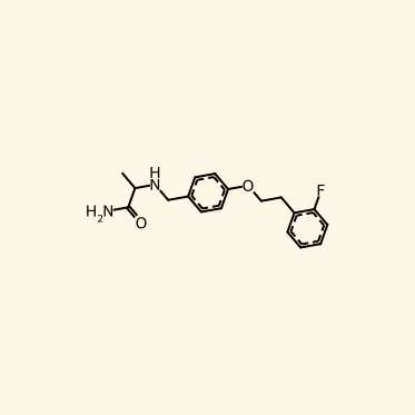 CC(NCc1ccc(OCCc2ccccc2F)cc1)C(N)=O